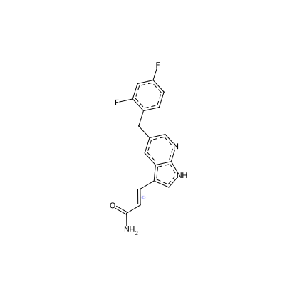 NC(=O)/C=C/c1c[nH]c2ncc(Cc3ccc(F)cc3F)cc12